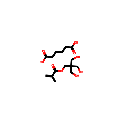 C=C(C)C(=O)OCC(CO)(CO)CO.O=C(O)CCCCC(=O)O